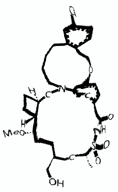 CO[C@H]1/C=C/[C@H](CO)C[C@@H](C)S(=O)(=O)NC(=O)c2ccc3c(c2)N(CCCCc2cc(Cl)ccc2CO3)C[C@@H]2CC[C@H]21